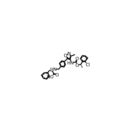 Cc1noc(-c2ccc(CN[C@H](Cc3ccccc3)C(=O)O)cc2)c1NC(=O)O[C@H](C)c1ccccc1Cl